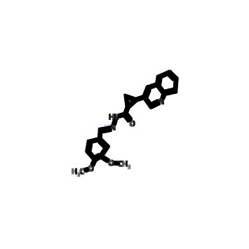 COc1ccc(/C=N/NC(=O)C2CC2c2cnc3ccccc3c2)cc1OC